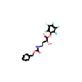 O=C(NCC[C@H](O)C(=O)Oc1c(F)c(F)c(F)c(F)c1F)OCc1ccccc1